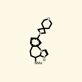 CNC1CCc2ccc(N3CC4(CCOCC4)C3)cc2N2C=CNC12